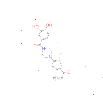 CCCCCCC(=O)c1ccc(N2CCN(C(=O)c3ccc(O)c(O)c3)CC2)c(F)c1